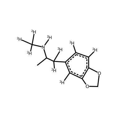 [2H]c1c([2H])c(C([2H])([2H])C(C)N([2H])C([2H])([2H])[2H])c([2H])c2c1OCO2